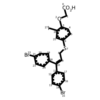 O=C(O)COc1ccc(SCC=C(c2ccc(Br)cc2)c2ccc(Br)cc2)cc1I